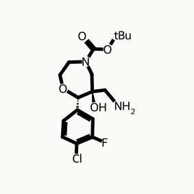 CC(C)(C)OC(=O)N1CCO[C@@H](c2ccc(Cl)c(F)c2)[C@@](O)(CN)C1